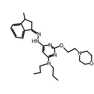 CCCN(CCC)c1cc(N/N=C2/CC(C)c3ccccc32)nc(OCCN2CCOCC2)n1